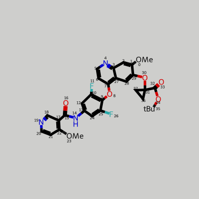 COc1cc2nccc(Oc3c(F)cc(NC(=O)c4cnccc4OC)cc3F)c2cc1OC1(C(=O)OC(C)(C)C)CC1